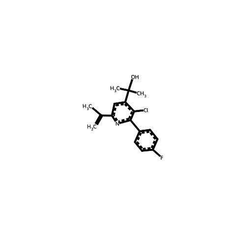 C=C(C)c1cc(C(C)(C)O)c(Cl)c(-c2ccc(F)cc2)n1